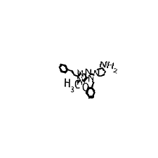 Cn1c(C=Cc2ccccc2)nc2nc(N3CCCC(N)C3)n(Cc3ccccc3)c2c1=O